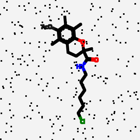 CC(=O)Oc1c(C)c(C)c2c(c1C)CCC(C)(C(=O)NCCCCCCCl)O2